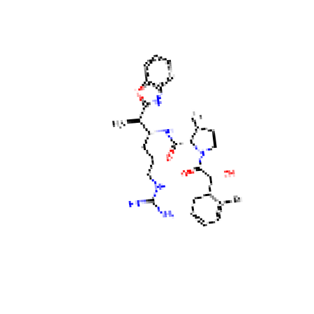 C=C(c1nc2ccccc2o1)[C@H](CCCNC(=N)N)NC(=O)[C@@H]1[C@@H](C)CCN1C(=O)[C@H](O)C1CC=CC=C1CC